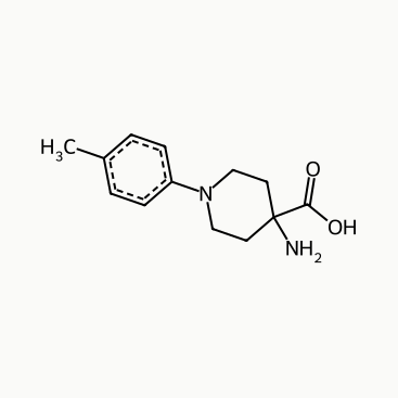 Cc1ccc(N2CCC(N)(C(=O)O)CC2)cc1